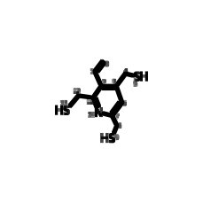 C=Cc1c(CS)cc(CS)nc1CS